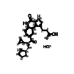 Cl.O=C(O)CCc1c[nH]c2c(=O)[nH]c3ccc(C(=O)N(C[C@@H]4CCCN4)C4CC4)cc3c12